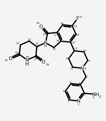 Nc1ncccc1CN1CCC(c2cc(F)cc3c2CN(C2CCC(=O)NC2=O)C3=O)CC1